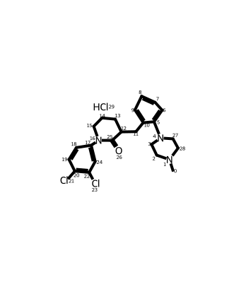 CN1CCN(c2ccccc2CC2CCCN(c3ccc(Cl)c(Cl)c3)C2=O)CC1.Cl